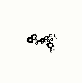 CN(Cc1csc(C(=O)N2CCCc3ccccc32)c1)S(=O)(=O)c1ccc(Br)cc1